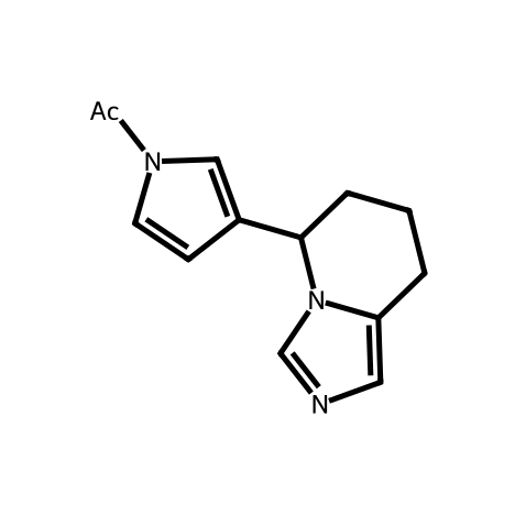 CC(=O)n1ccc(C2CCCc3cncn32)c1